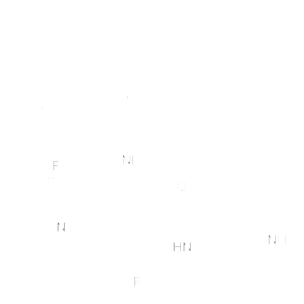 C#Cc1ccc(Nc2cncc(F)c2C(=O)NC2CNC2)c(F)c1